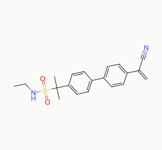 C=C(C#N)c1ccc(-c2ccc(C(C)(C)S(=O)(=O)NCC)cc2)cc1